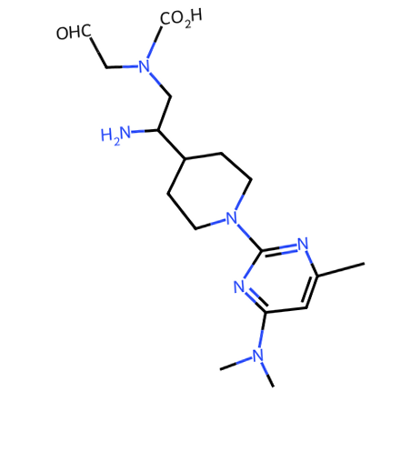 Cc1cc(N(C)C)nc(N2CCC(C(N)CN(CC=O)C(=O)O)CC2)n1